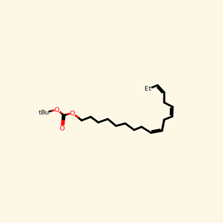 CC/C=C\C/C=C\C/C=C\CCCCCCCCOC(=O)OC(C)(C)C